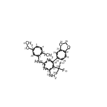 COc1ccc(C)c(Nc2nc(N)c(C(F)(F)F)c(-c3ccc4c(c3)OCO4)n2)c1